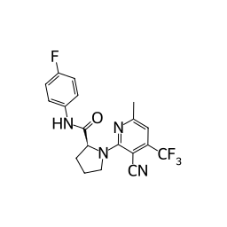 Cc1cc(C(F)(F)F)c(C#N)c(N2CCC[C@H]2C(=O)Nc2ccc(F)cc2)n1